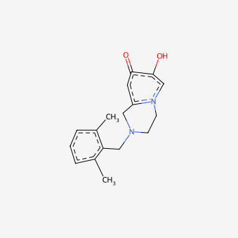 Cc1cccc(C)c1CN1CCn2cc(O)c(=O)cc2C1